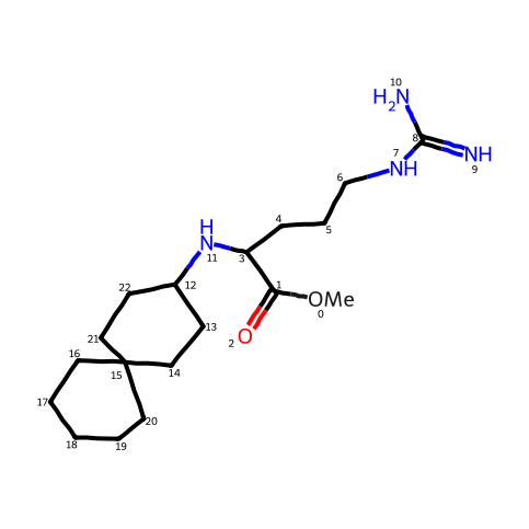 COC(=O)C(CCCNC(=N)N)NC1CCC2(CCCCC2)CC1